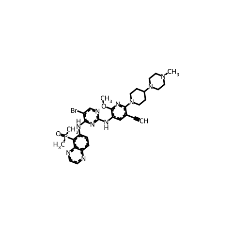 C#Cc1cc(Nc2ncc(Br)c(Nc3ccc4nccnc4c3P(C)(C)=O)n2)c(OC)nc1N1CCC(N2CCN(C)CC2)CC1